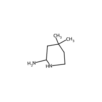 CC1(C)CCNC(N)C1